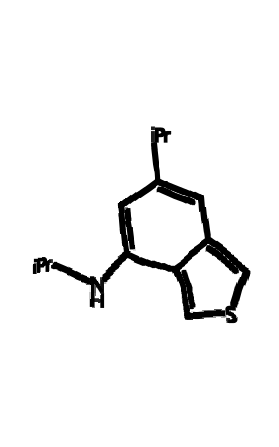 CC(C)Nc1cc(C(C)C)cc2cscc12